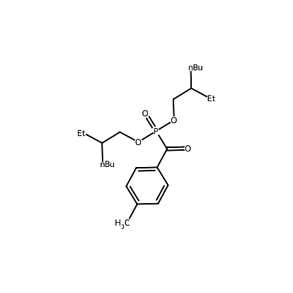 CCCCC(CC)COP(=O)(OCC(CC)CCCC)C(=O)c1ccc(C)cc1